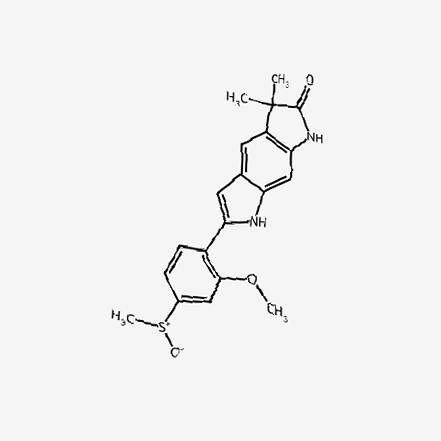 COc1cc([S+](C)[O-])ccc1-c1cc2cc3c(cc2[nH]1)NC(=O)C3(C)C